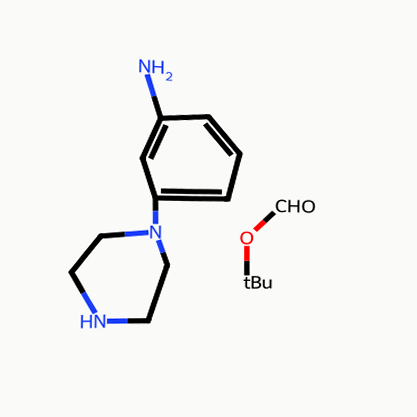 CC(C)(C)OC=O.Nc1cccc(N2CCNCC2)c1